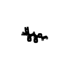 [CH2]NC(=O)CC(=O)OCC